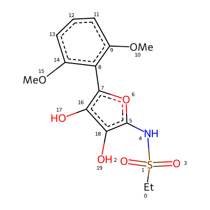 CCS(=O)(=O)Nc1oc(-c2c(OC)cccc2OC)c(O)c1O